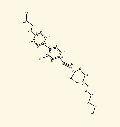 CCCCCC[C@H]1CC[C@H](C#Cc2ccc(-c3ccc(CCCC)cc3)c(F)c2)CC1